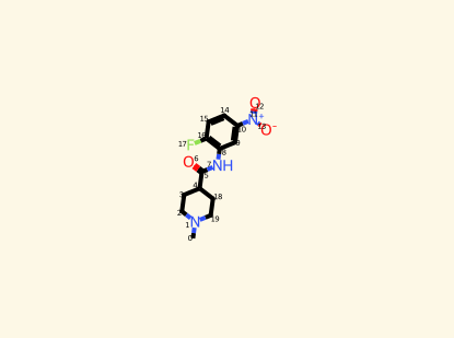 CN1CCC(C(=O)Nc2cc([N+](=O)[O-])ccc2F)CC1